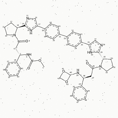 COC(=O)N[C@@H](CC(=O)N1CCC[C@H]1c1ncc(-c2ccc(-c3ccc(-c4cnc([C@@H]5CCCN5C(=O)C[C@H](NC5OCO5)c5ccccc5)[nH]4)cc3)cc2)[nH]1)c1ccccc1